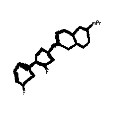 CCCC1CCC2CC(c3ccc(-c4cccc(F)c4)c(F)c3)CCC2C1